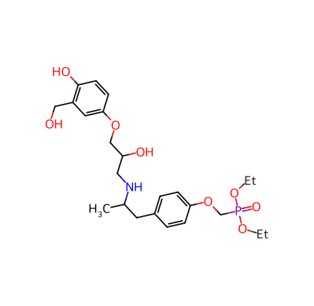 CCOP(=O)(COc1ccc(CC(C)NCC(O)COc2ccc(O)c(CO)c2)cc1)OCC